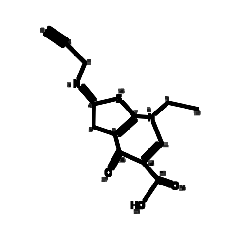 C#CC/N=C1/Cc2c(n(CC)cc(C(=O)O)c2=O)S1